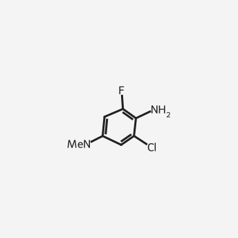 CNc1cc(F)c(N)c(Cl)c1